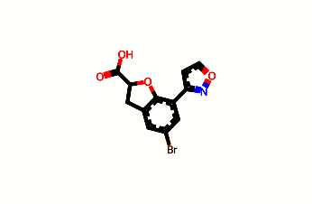 O=C(O)C1Cc2cc(Br)cc(-c3ccon3)c2O1